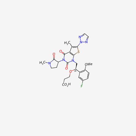 COc1ccc(F)cc1[C@H](Cn1c(=O)n(C2CCN(C)C2=O)c(=O)c2c(C)c(-n3nccn3)sc21)OCCC(=O)O